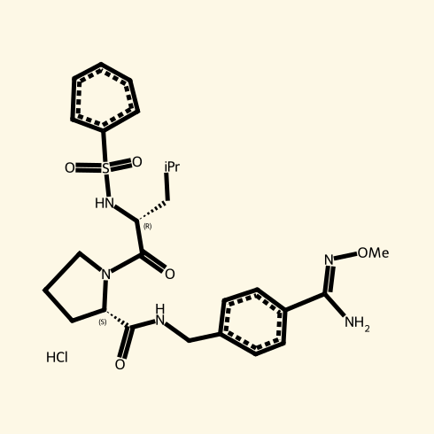 CON=C(N)c1ccc(CNC(=O)[C@@H]2CCCN2C(=O)[C@@H](CC(C)C)NS(=O)(=O)c2ccccc2)cc1.Cl